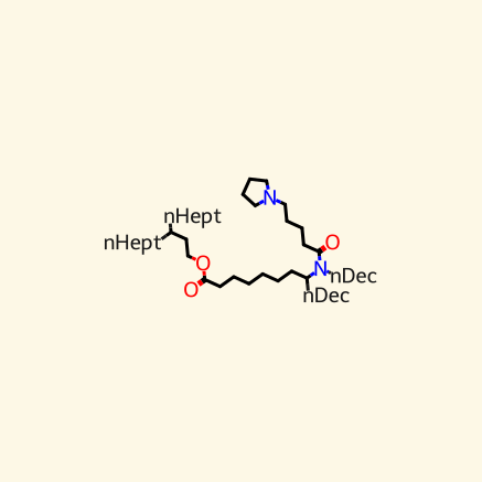 CCCCCCCCCCC(CCCCCCC(=O)OCCC(CCCCCCC)CCCCCCC)N(CCCCCCCCCC)C(=O)CCCCN1CCCC1